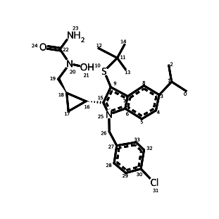 CC(C)c1ccc2c(c1)c(SC(C)(C)C)c([C@@H]1C[C@H]1CN(O)C(N)=O)n2Cc1ccc(Cl)cc1